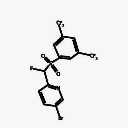 O=S(=O)(c1cc(C(F)(F)F)cc(C(F)(F)F)c1)C(F)c1ccc(Br)cn1